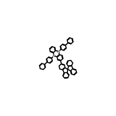 C1=CC(c2ccc(N3c4ccccc4N(c4ccc(-c5ccccc5)cc4)c4ccc(C5=CC6=C(CC5)c5ccccc5C65C6=C(CCC=C6)c6ccccc65)cc43)cc2)=CCC1